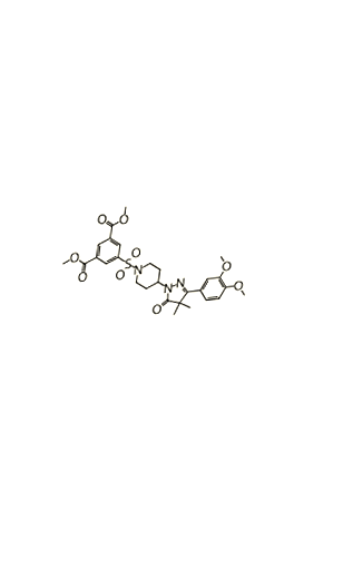 COC(=O)c1cc(C(=O)OC)cc(S(=O)(=O)N2CCC(N3N=C(c4ccc(OC)c(OC)c4)C(C)(C)C3=O)CC2)c1